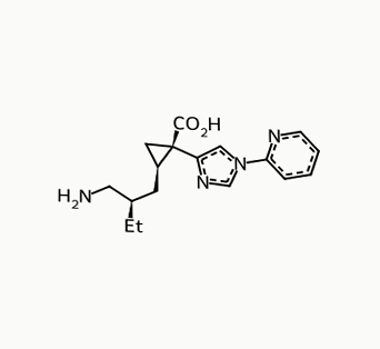 CC[C@@H](CN)C[C@H]1C[C@]1(C(=O)O)c1cn(-c2ccccn2)cn1